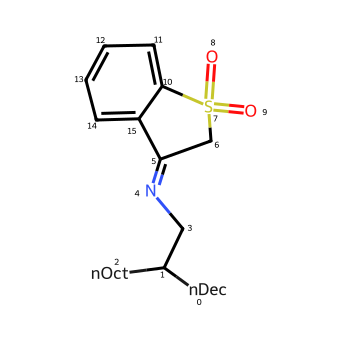 CCCCCCCCCCC(CCCCCCCC)C/N=C1\CS(=O)(=O)c2ccccc21